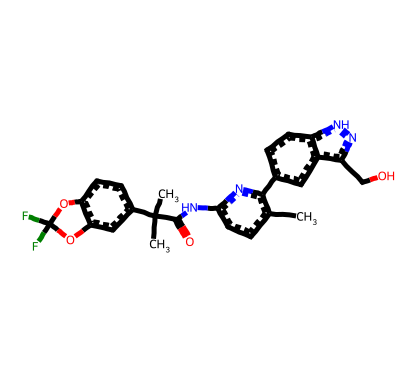 Cc1ccc(NC(=O)C(C)(C)c2ccc3c(c2)OC(F)(F)O3)nc1-c1ccc2[nH]nc(CO)c2c1